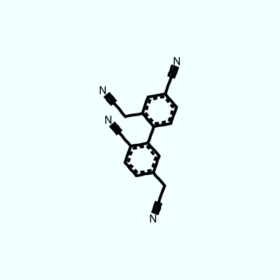 N#CCc1ccc(C#N)c(-c2ccc(C#N)cc2CC#N)c1